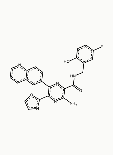 Nc1nc(-c2ncco2)c(-c2ccc3ncccc3c2)nc1C(=O)NCc1cc(F)ccc1O